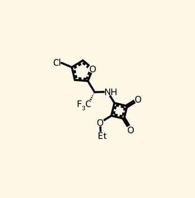 CCOc1c(N[C@@H](c2cc(Cl)co2)C(F)(F)F)c(=O)c1=O